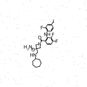 NOC1(CNC2CCCCCC2)CN(C(=O)c2ccc(F)c(F)c2Nc2ccc(I)cc2F)C1